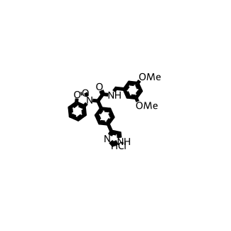 COc1cc(CNC(=O)C(c2ccc(-c3c[nH]cn3)cc2)N2OOc3ccccc32)cc(OC)c1.Cl